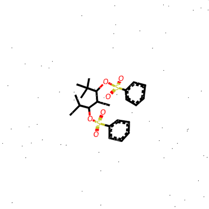 CC(C)C(OS(=O)(=O)c1ccccc1)C(C)C(OS(=O)(=O)c1ccccc1)C(C)(C)C